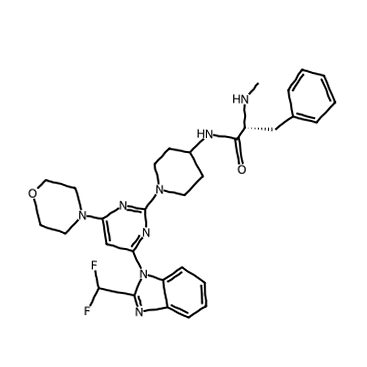 CN[C@H](Cc1ccccc1)C(=O)NC1CCN(c2nc(N3CCOCC3)cc(-n3c(C(F)F)nc4ccccc43)n2)CC1